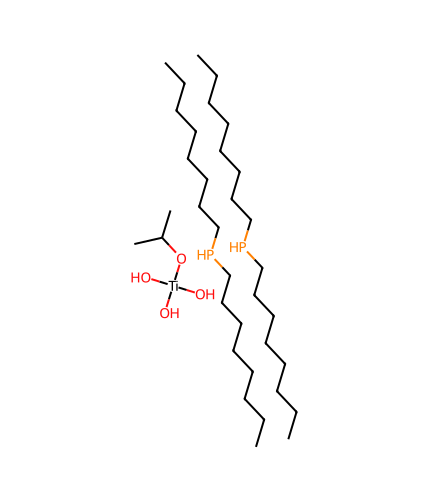 CC(C)[O][Ti]([OH])([OH])[OH].CCCCCCCCPCCCCCCCC.CCCCCCCCPCCCCCCCC